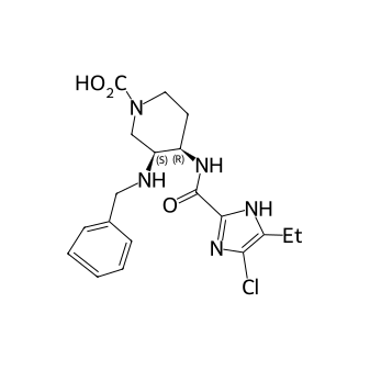 CCc1[nH]c(C(=O)N[C@@H]2CCN(C(=O)O)C[C@@H]2NCc2ccccc2)nc1Cl